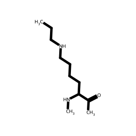 CCCNCCCCC(NC)C(C)=O